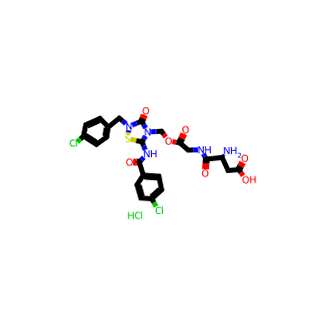 Cl.N[C@@H](CC(=O)O)C(=O)NCC(=O)OCN1C(=O)N(Cc2ccc(Cl)cc2)SC1NC(=O)c1ccc(Cl)cc1